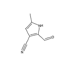 Cc1cc(C#N)c(C=O)[nH]1